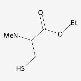 CCOC(=O)C(CS)NC